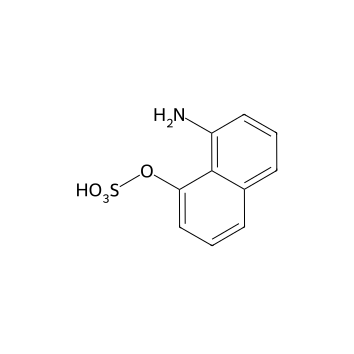 Nc1cccc2cccc(OS(=O)(=O)O)c12